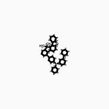 CC1(C)c2cccc(-c3ccc(N(c4ccccc4)c4cccc(-c5ccccc5)c4)cc3)c2-c2ccc3oc4ccccc4c3c21